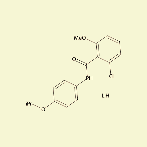 COc1cccc(Cl)c1C(=O)Pc1ccc(OC(C)C)cc1.[LiH]